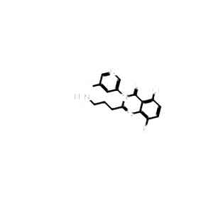 NCCCc1nc2c(F)ccc(Cl)c2c(=O)n1-c1cncc(F)c1